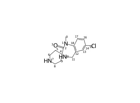 CN1C(=O)C2(CCNCC2)NCc2cc(Cl)ccc21